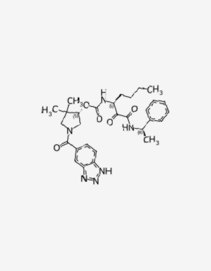 CCCC[C@H](NC(=O)O[C@@H]1CN(C(=O)c2ccc3[nH]nnc3c2)CC1(C)C)C(=O)C(=O)N[C@H](C)c1ccccc1